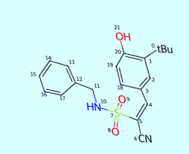 CC(C)(C)c1cc(C=C(C#N)S(=O)(=O)NCc2ccccc2)ccc1O